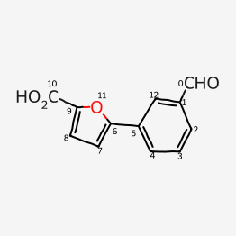 O=Cc1cccc(-c2ccc(C(=O)O)o2)c1